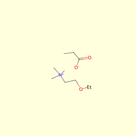 CCC(=O)[O-].CCOCC[N+](C)(C)C